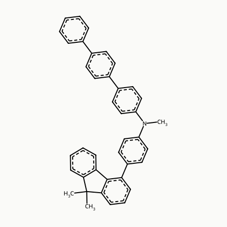 CN(c1ccc(-c2ccc(-c3ccccc3)cc2)cc1)c1ccc(-c2cccc3c2-c2ccccc2C3(C)C)cc1